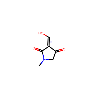 CN1CC(=O)/C(=C/O)C1=O